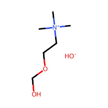 C[N+](C)(C)CCOCO.[OH-]